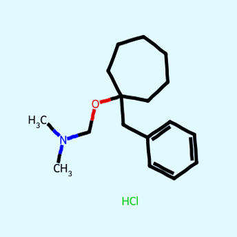 CN(C)COC1(Cc2ccccc2)CCCCCC1.Cl